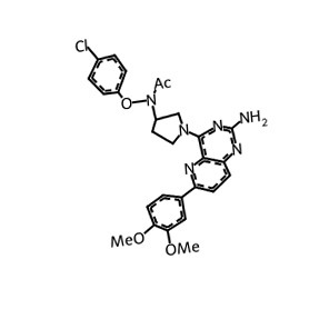 COc1ccc(-c2ccc3nc(N)nc(N4CCC(N(Oc5ccc(Cl)cc5)C(C)=O)C4)c3n2)cc1OC